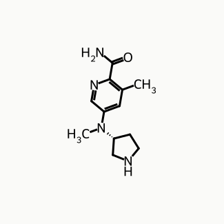 Cc1cc(N(C)[C@@H]2CCNC2)cnc1C(N)=O